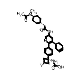 CC(=O)N(C)[C@H]1CC[C@H](CC(=O)Nc2cnc(-c3ccc([C@]4(NC(=O)O)C[C@H](F)C4)cc3)c(-c3ccccc3)c2)CC1